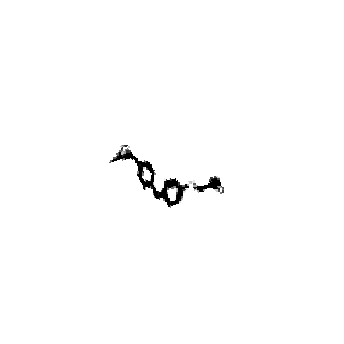 c1cc(OCC2CO2)ccc1Cc1ccc(C2CO2)cc1